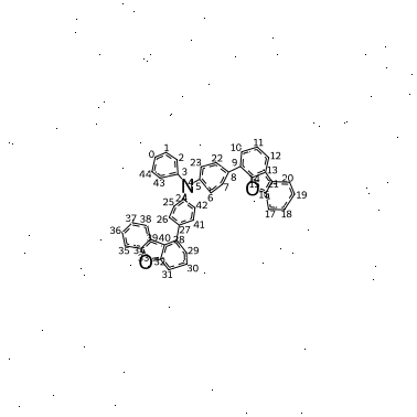 c1ccc(N(c2ccc(-c3cccc4c3oc3ccccc34)cc2)c2ccc(-c3cccc4oc5ccccc5c34)cc2)cc1